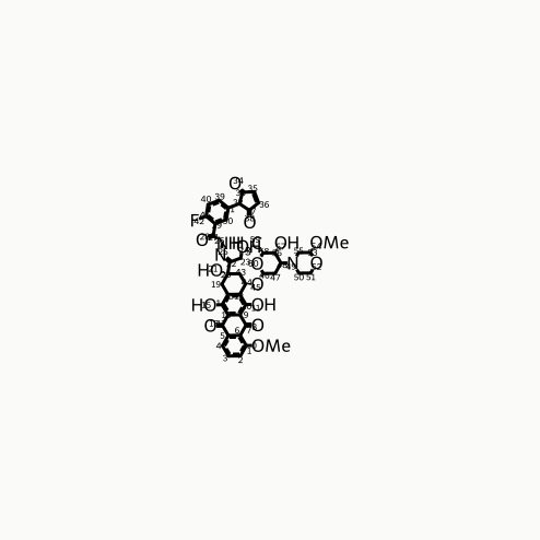 COc1cccc2c1C(=O)c1c(O)c3c(c(O)c1C2=O)C[C@@](O)(/C(CO)=N/NC(=O)c1cc(C2C(=O)C=CC2=O)ccc1F)C[C@@H]3O[C@H]1CC(N2CCO[C@H](OC)C2)[C@H](O)[C@H](C)O1